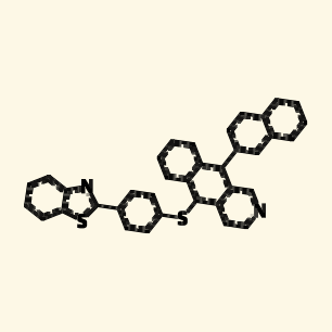 c1ccc2cc(-c3c4ccccc4c(Sc4ccc(-c5nc6ccccc6s5)cc4)c4ccncc34)ccc2c1